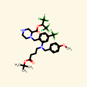 COc1ccc(CN(CCCC(=O)OC(C)(C)C)c2cc(C(F)(F)F)ccc2CN2CCNCC2C(=O)OC(C(F)(F)F)C(F)(F)F)cc1